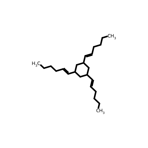 CCCCC=CC1CC(C=CCCCC)CC(C=CCCCC)C1